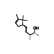 CC1=CC[C@H](/C=C/[C@@H](C)[C@@H](C)O)C1(C)C